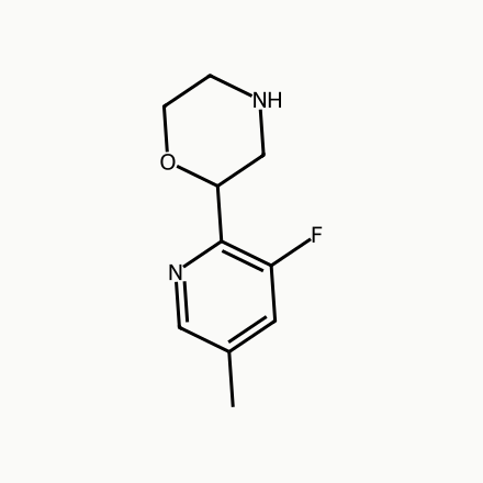 Cc1cnc(C2CNCCO2)c(F)c1